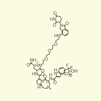 CN1CC[C@H]2CC[C@@H](C(=O)NC(CCC(N)=O)C(=O)NCCOCCOCCOCCNc3cccc4c3CN(C3CCC(=O)NC3=O)C4=O)N2C(=O)[C@@H](NC(=O)c2cc3cc(C(F)(F)P(=O)(O)O)ccc3[nH]2)C1